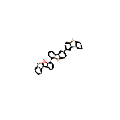 c1ccc2c(c1)sc1ccc(-c3ccc4sc5c(-c6cccc7c6oc6sc8ccccc8c67)cccc5c4c3)cc12